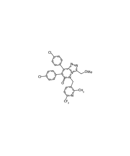 COCc1nnc2c(-c3ccc(Cl)cc3)c(-c3ccc(Cl)cc3)c(=O)n(Cc3ccc(C(F)(F)F)nc3C)n12